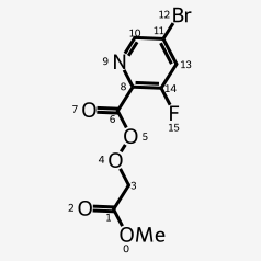 COC(=O)COOC(=O)c1ncc(Br)cc1F